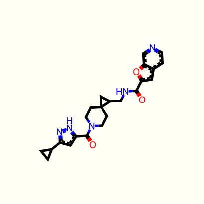 O=C(NCC1CC12CCN(C(=O)c1cc(C3CC3)n[nH]1)CC2)c1cc2ccncc2o1